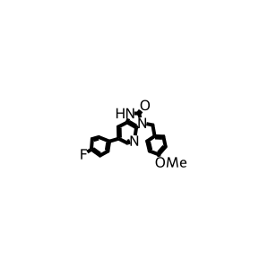 COc1ccc(Cn2c(=O)[nH]c3cc(-c4ccc(F)cc4)cnc32)cc1